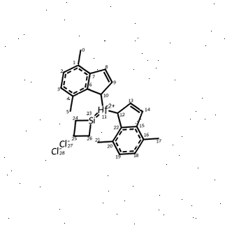 Cc1ccc(C)c2c1C=C[CH]2[Hf+2]([CH]1C=Cc2c(C)ccc(C)c21)=[Si]1CCC1.[Cl-].[Cl-]